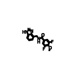 COc1c(F)cc(C(=O)NCc2cccc3[nH]nnc23)cc1F